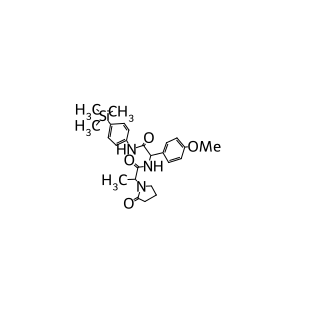 COc1ccc(C(NC(=O)C(C)N2CCCC2=O)C(=O)Nc2ccc([Si](C)(C)C)cc2)cc1